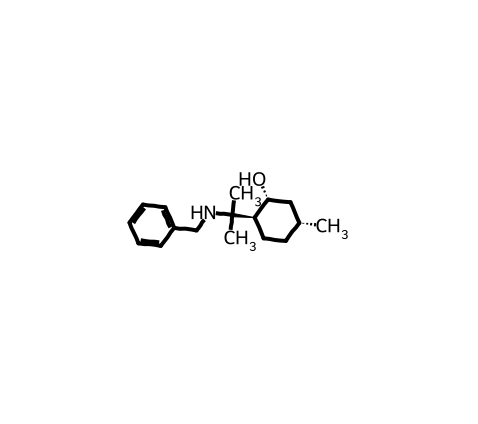 C[C@@H]1CC[C@@H](C(C)(C)NCc2ccccc2)[C@H](O)C1